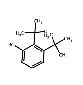 CC(C)(C)c1[c]ccc(O)c1C(C)(C)C